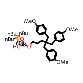 CCCCP(CCCC)(CCCC)(CCCC)OB(O)OCCCC(Cc1ccc(OC)cc1)(Cc1ccc(OC)cc1)Cc1ccc(OC)cc1